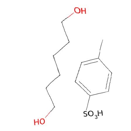 Cc1ccc(S(=O)(=O)O)cc1.OCCCCCCO